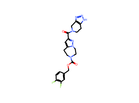 O=C(OCc1ccc(F)c(F)c1)N1CCc2cc(C(=O)N3CCc4[nH]nnc4C3)nn2CC1